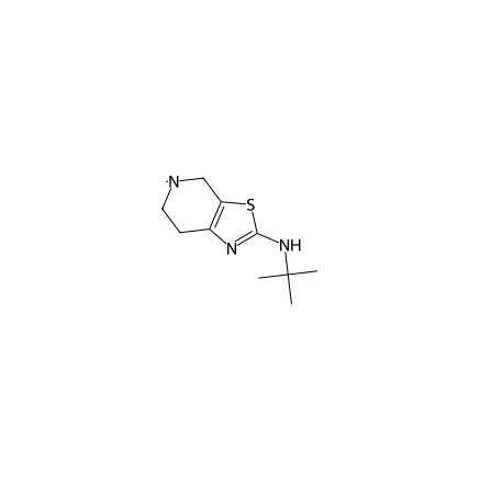 CC(C)(C)Nc1nc2c(s1)C[N]CC2